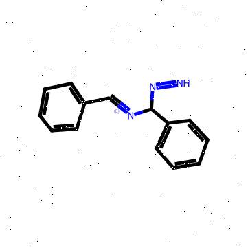 N=NC(/N=C/c1ccccc1)c1ccccc1